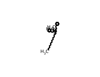 CCCCCCCCCCCCCCn1cc(CC(C)c2ccccc2)[n+](C)c1Cc1ccccc1